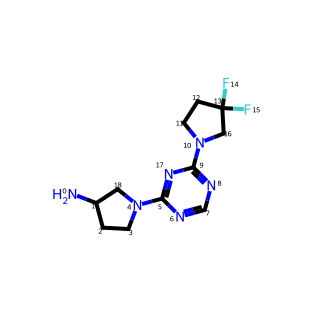 NC1CCN(c2ncnc(N3CCC(F)(F)C3)n2)C1